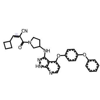 N#C/C(=C/C1CCC1)C(=O)N1CCC(Nc2n[nH]c3nccc(Oc4ccc(Oc5ccccc5)cc4)c23)C1